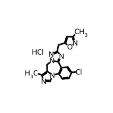 Cc1cc(Cc2nc3n(n2)Cc2c(C)ncn2-c2ccc(Cl)cc2-3)on1.Cl